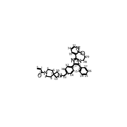 C=CC(=O)N1CCC2(CC1)CN(Cc1ccc(-c3nc4n(c3-c3ccccc3)CCOc3ncccc3-4)cc1)C2